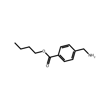 CCCCOC(=O)c1ccc(CN)cc1